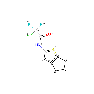 O=C(Nc1cc2c(s1)CCC2)C(F)(F)Cl